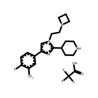 Fc1ccc(-c2cn(CCN3CCC3)c(C3CCNCC3)n2)cc1C(F)(F)F.O=C(O)C(F)(F)F